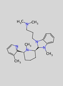 Cc1cccnc1[C@@H]1CCC[C@H](C2N(C)c3ccccc3N2CCCN(C)C)N1C